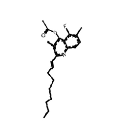 CCCCCCC/C=C/c1nc2ccc(C)c(F)c2c(OC(C)=O)c1C